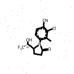 Cc1c(N2C(=O)CCC2[C@@H](O)C(F)(F)F)ccc(C#N)c1Cl